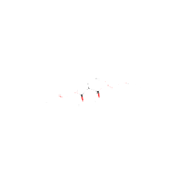 CCCCCC(C(=O)OOOC(C)(C)C)C(=O)OOOC(C)(C)C